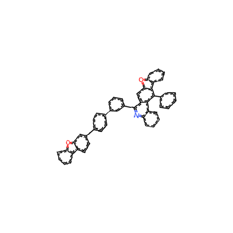 c1ccc(-c2c3c(cc4c(-c5cccc(-c6ccc(-c7ccc8c(c7)oc7ccccc78)cc6)c5)nc5ccccc5c24)oc2ccccc23)cc1